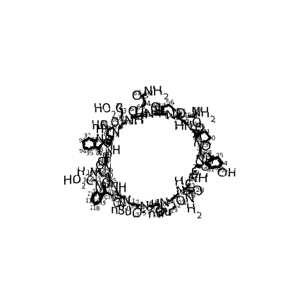 CCCC[C@H]1C(=O)N(C)[C@@H](CCCC)C(=O)N[C@@H](CC(C)C)C(=O)N[C@H](C(N)=O)CNCC(=O)N[C@@H](Cc2ccc(O)cc2)C(=O)N2CCCC[C@H]2C(=O)N[C@@H](CC(N)=O)C(=O)N2CCC[C@H]2C(=O)N[C@@H](CCC(N)=O)C(=O)N[C@@H](CCC(=O)O)C(=O)N2C[C@H](O)C[C@H]2C(=O)N[C@@H](Cc2c[nH]c3ccccc23)C(=O)N[C@@H](CC(N)=O)C(=O)N[C@@H](Cc2cn(CC(=O)O)c3ccccc23)C(=O)N1C